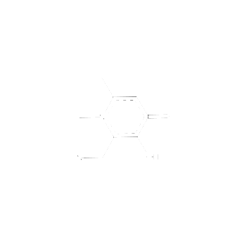 Cc1cc(=O)c(O)c(CN)n1C